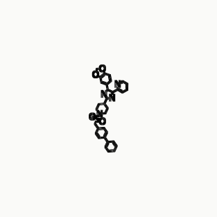 O=S(=O)(Cc1ccc(-c2ccccc2)cc1)N1CCC(C2=NC(c3ccc4c(c3)OCO4)C(c3ccccn3)=N2)CC1